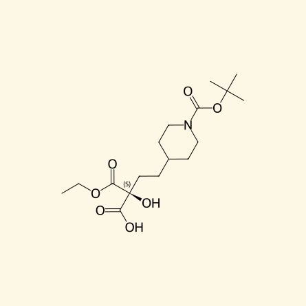 CCOC(=O)[C@](O)(CCC1CCN(C(=O)OC(C)(C)C)CC1)C(=O)O